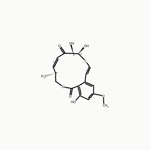 COc1cc(O)c2c(c1)/C=C/C[C@H](O)[C@H](O)C(=O)/C=C\[C@@H](C)COC2=O